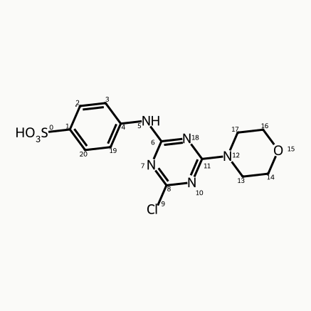 O=S(=O)(O)c1[c]cc(Nc2nc(Cl)nc(N3CCOCC3)n2)cc1